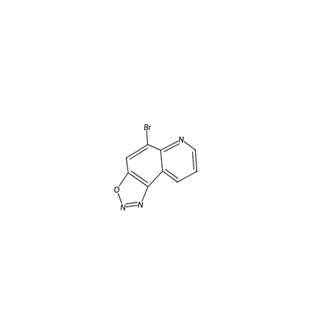 Brc1cc2onnc2c2cccnc12